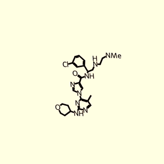 CNCCNCC(NC(=O)c1cn(-c2nc(NC3CCOCC3)ncc2C)cn1)c1cccc(Cl)c1